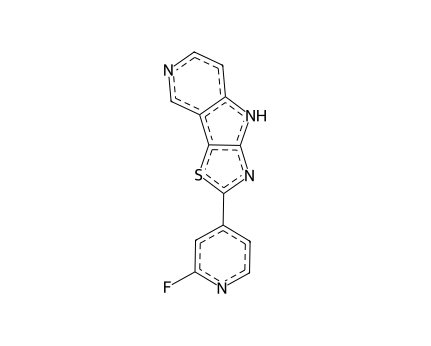 Fc1cc(-c2nc3[nH]c4ccncc4c3s2)ccn1